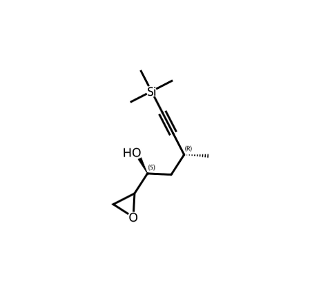 C[C@@H](C#C[Si](C)(C)C)C[C@H](O)C1CO1